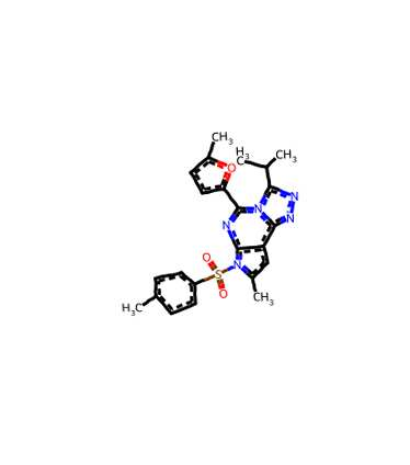 Cc1ccc(S(=O)(=O)n2c(C)cc3c2nc(-c2ccc(C)o2)n2c(C(C)C)nnc32)cc1